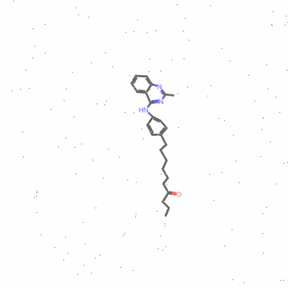 CCCC(=O)CCCCCCc1ccc(Nc2nc(C)nc3ccccc23)cc1